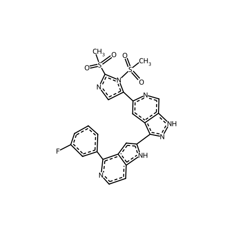 CS(=O)(=O)c1ncc(-c2cc3c(-c4cc5c(-c6cccc(F)c6)nccc5[nH]4)n[nH]c3cn2)n1S(C)(=O)=O